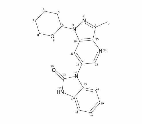 Cc1nn(C2CCCCO2)c2cc(-n3c(=O)[nH]c4ccccc43)cnc12